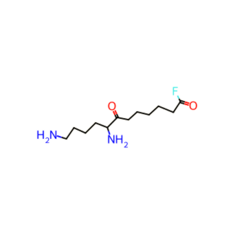 NCCCCC(N)C(=O)CCCCCC(=O)F